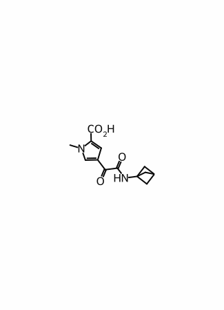 Cn1cc(C(=O)C(=O)NC23CC(C2)C3)cc1C(=O)O